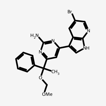 COCOC(C)(c1ccccc1)c1cc(-c2c[nH]c3ncc(Br)cc23)nc(N)n1